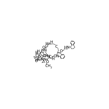 C=C[C@@H]1C[C@]1(NC(=O)[C@@H]1C[C@@H]2CN1C(=O)[C@H](C(C)(C)C)NC(=O)O[C@@H]1C[C@H]1CCCCCc1c(nc3ccccc3c1OCCCNC1CCCc3ccccc31)O2)C(=O)NS(=O)(=O)C1(C)CC1